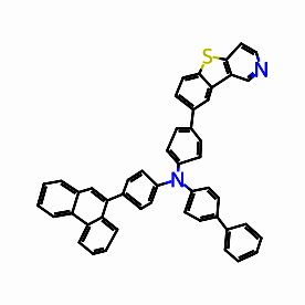 c1ccc(-c2ccc(N(c3ccc(-c4ccc5sc6ccncc6c5c4)cc3)c3ccc(-c4cc5ccccc5c5ccccc45)cc3)cc2)cc1